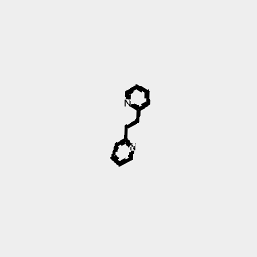 c1ccc(CCc2ccccn2)nc1